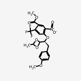 COC(=O)c1cc([N+](=O)[O-])c(O[C@@H](Cc2ccc(OC)cc2)C2OC(C)O2)cc1C(F)(F)F